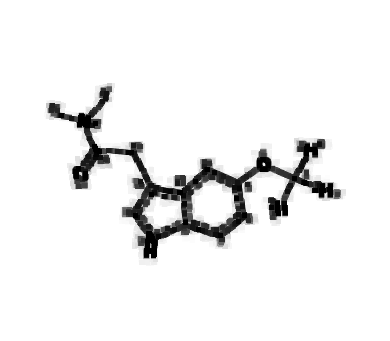 [2H]C([2H])([2H])Oc1ccc2[nH]cc(CC(=O)N(C)C)c2c1